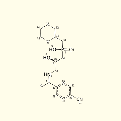 CC(NC[C@@H](O)CP(=O)(O)CC1CCCCC1)c1ccc(C#N)cc1